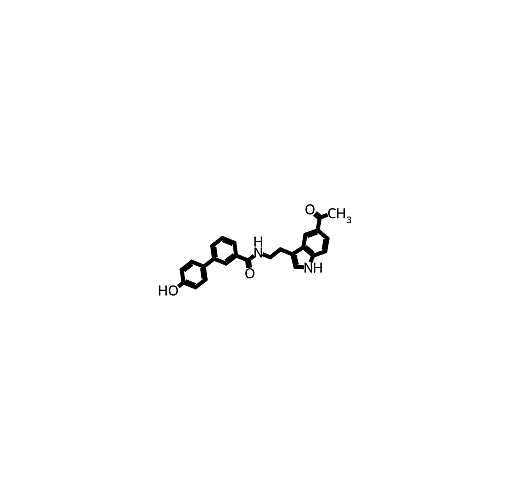 CC(=O)c1ccc2[nH]cc(CCNC(=O)c3cccc(-c4ccc(O)cc4)c3)c2c1